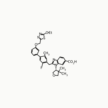 CCOc1nnc(COc2cccc(-c3cc(F)c(Cc4nc5ccc(C(=O)O)cc5n4[C@@H]4COCC4(C)C)cc3C)c2)s1